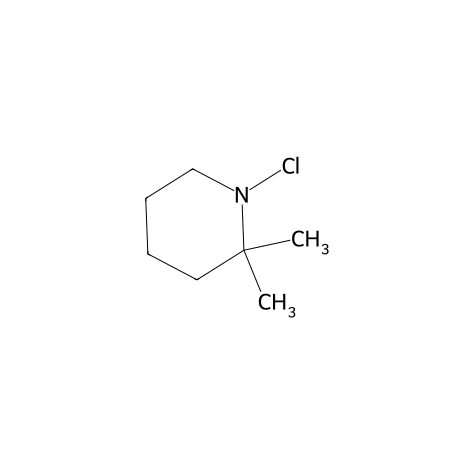 CC1(C)CCCCN1Cl